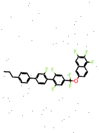 CCCc1ccc(-c2ccc(-c3c(F)cc(C(F)(F)Oc4ccc5c(F)c(F)c(F)cc5c4)cc3F)c(F)c2)cc1